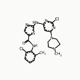 Cc1cccc(Cl)c1NC(=O)c1cnc(Nc2cc(N3CCN(C)CC3)nc(Cl)n2)s1